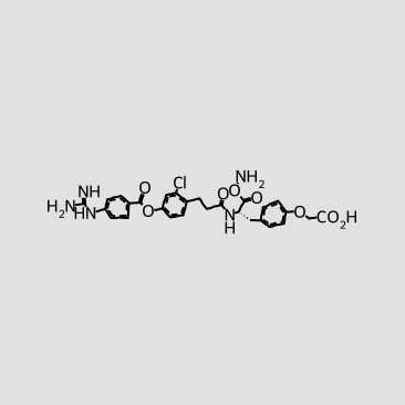 N=C(N)Nc1ccc(C(=O)Oc2ccc(CCC(=O)N[C@@H](Cc3ccc(OCC(=O)O)cc3)C(=O)ON)c(Cl)c2)cc1